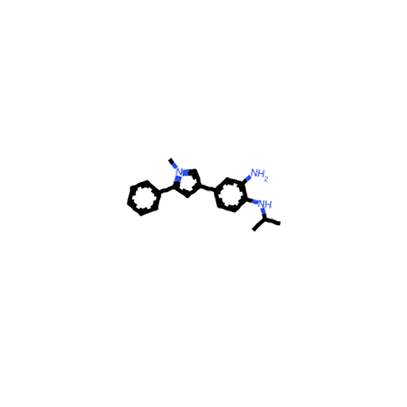 CC(C)Nc1ccc(-c2cc(-c3ccccc3)n(C)c2)cc1N